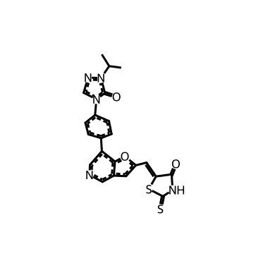 CC(C)n1ncn(-c2ccc(-c3cncc4cc(/C=C5\SC(=S)NC5=O)oc34)cc2)c1=O